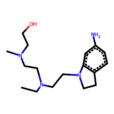 CCN(CCN(C)CCO)CCN1CCc2ccc(N)cc21